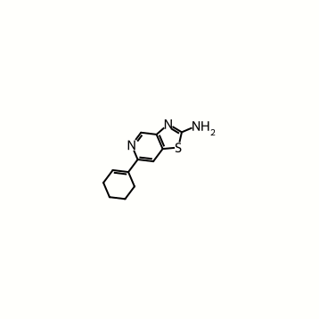 Nc1nc2cnc(C3=CCCCC3)cc2s1